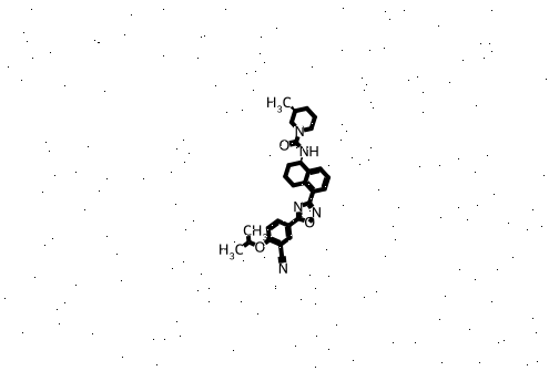 CC(C)Oc1ccc(-c2nc(-c3cccc4c3CCC[C@@H]4NC(=O)N3CCC[C@H](C)C3)no2)cc1C#N